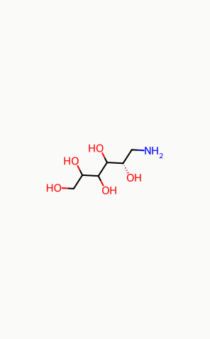 NC[C@H](O)C(O)C(O)C(O)CO